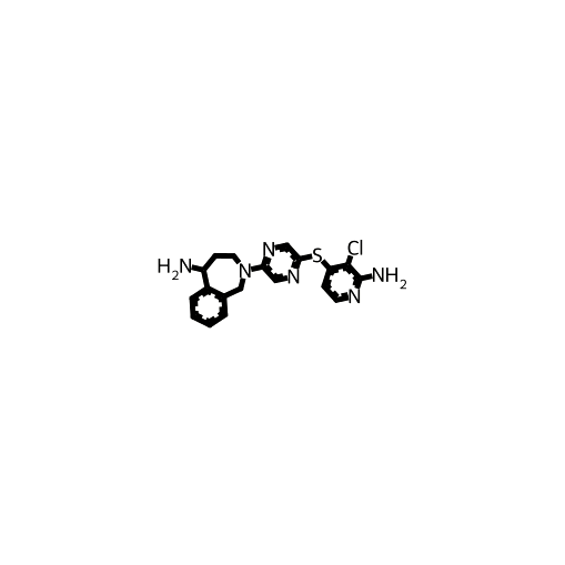 Nc1nccc(Sc2cnc(N3CCC(N)c4ccccc4C3)cn2)c1Cl